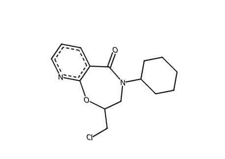 O=C1c2cccnc2OC(CCl)CN1C1CCCCC1